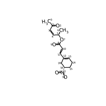 CC(=O)/C=C\[C@@H](C)OC(=O)/C=C/C1=CCC[C@H]([N+](=O)[O-])C1